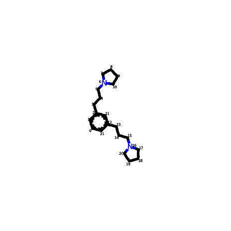 c1cc(CCCN2CCCC2)cc(CCCN2CCCC2)c1